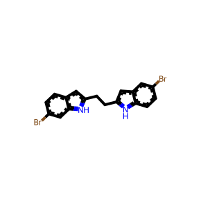 Brc1ccc2[nH]c(CCc3cc4ccc(Br)cc4[nH]3)cc2c1